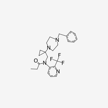 CCC(=O)N(CC1(N2CCN(Cc3ccccc3)CC2)CC1)c1cccnc1C(F)(F)F